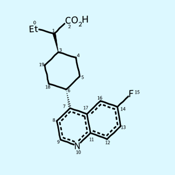 CCC(C(=O)O)[C@H]1CC[C@H](c2ccnc3ccc(F)cc32)CC1